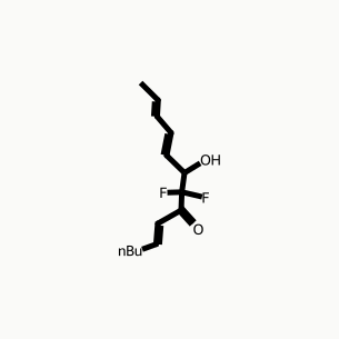 C/C=C/C=C/C(O)C(F)(F)C(=O)/C=C/CCCC